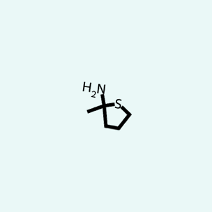 CC1(N)CCCS1